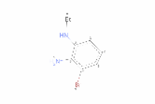 CCNc1cccc(Br)c1N